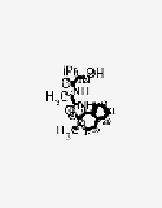 CC(C)C(=NO)C(=O)N[C@@H](C)C(=O)N[C@H]1C(=O)N(C)CCc2ccccc21